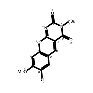 CCCCn1c(=O)nc2oc3cc(OC)c(Cl)cc3cc-2c1=O